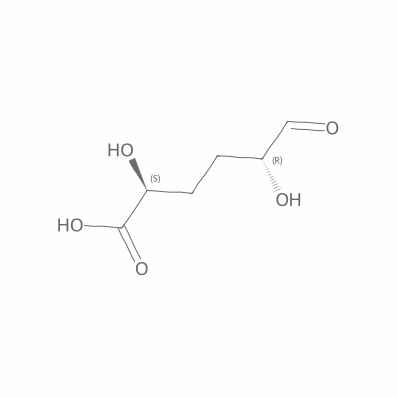 O=C[C@H](O)CC[C@H](O)C(=O)O